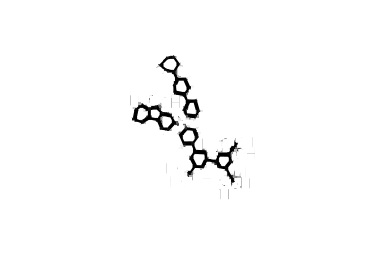 CC(C)(C)c1cc(-c2ccc(N(c3cccc(-c4ccc(C5CCCCC5)cc4)c3)c3ccc4c(c3)C(C)(C)c3ccccc3-4)cc2)cc(-c2cc(C(C)(C)C)cc(C(C)(C)C)c2)c1